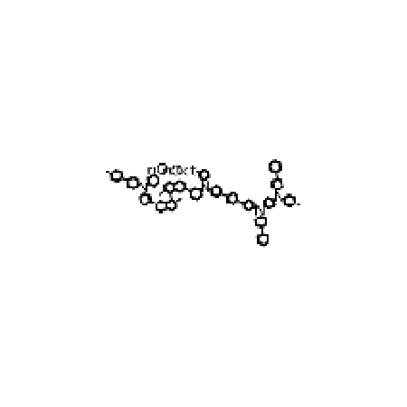 CCCCCCCCc1cccc(N(c2ccc(-c3ccc(C)cc3)cc2)c2cccc(-c3ccc4ccc(C)c(-c5c(C)ccc6ccc(-c7cccc(N(c8ccc(-c9ccc(-c%10ccc(N(c%11ccc(-c%12ccccc%12)cc%11)c%11ccc(N(c%12ccc(C)cc%12)c%12ccc(-c%13ccccc%13)cc%12)cc%11)cc%10)cc9)cc8)c8cccc(CCCCCCCC)c8)c7)cc56)c4c3)c2)c1